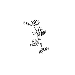 Cl.Cl.Cl.N=C(N)NCCC[C@H](N)C(=O)NC[C@@H]1CC[C@@H](CCB(O)O)C[C@]1(N)C(=O)O